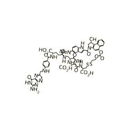 CNc1ccc2[nH]c(C(=O)N3CC(C)c4c3cc(OC(=O)OCCSSCC(NC(=O)C(CC(=O)O)NC(=O)C(N)CNC(=O)CCC(NC(=O)c3ccc(NCc5cnc6nc(N)[nH]c(=O)c6n5)cc3)C(=O)O)C(=O)O)c3ccccc43)cc2c1